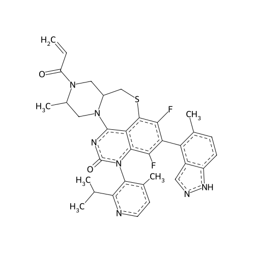 C=CC(=O)N1CC2CSc3c(F)c(-c4c(C)ccc5[nH]ncc45)c(F)c4c3c(nc(=O)n4-c3c(C)ccnc3C(C)C)N2CC1C